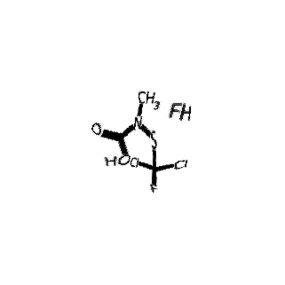 CN(SC(F)(Cl)Cl)C(=O)O.F